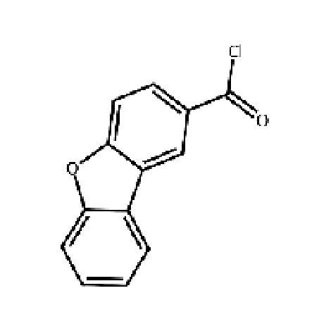 O=C(Cl)c1ccc2oc3ccccc3c2c1